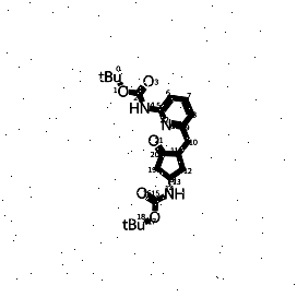 CC(C)(C)OC(=O)Nc1cccc(CC2C[C@H](NC(=O)OC(C)(C)C)CC2=O)n1